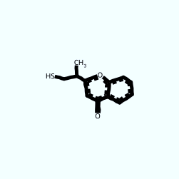 CC(CS)c1cc(=O)c2ccccc2o1